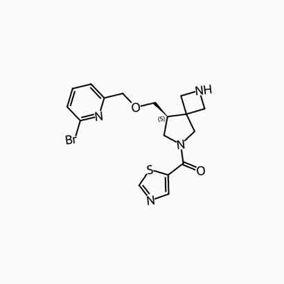 O=C(c1cncs1)N1C[C@@H](COCc2cccc(Br)n2)C2(CNC2)C1